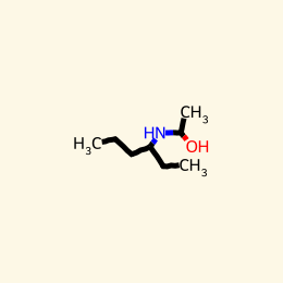 CCCC(CC)NC(C)O